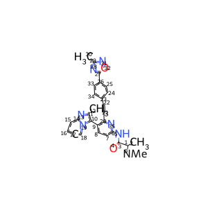 CNC(C)C(=O)Nc1ccc(-c2c(C)nc3ccccn23)c(C#Cc2ccc(-c3nc(C)no3)cc2)n1